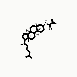 C=C(C)C(=O)N[C@H]1CC[C@@]2(C)[C@@H](CC[C@@H]3[C@@H]2CC[C@]2(C)C([C@H](C)CCCC(C)C)CC[C@@H]32)C1